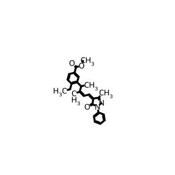 CCc1ccc(C(=O)OC)cc1C(C)/C(C)=C\C=C1/C(=O)N(c2ccccc2)N=C1C